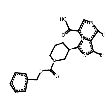 O=C(O)c1cnc(Cl)c2c(Br)nc([C@@H]3CCCN(C(=O)OCc4ccccc4)C3)n12